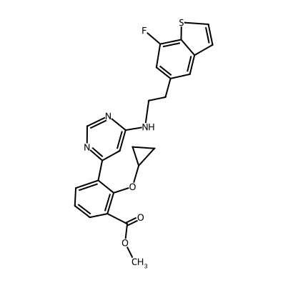 COC(=O)c1cccc(-c2cc(NCCc3cc(F)c4sccc4c3)ncn2)c1OC1CC1